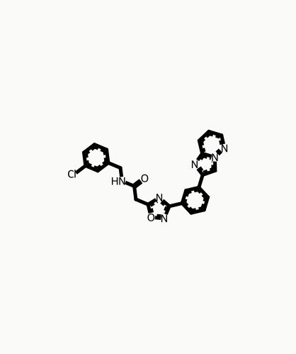 O=C(Cc1nc(-c2cccc(-c3cn4ncccc4n3)c2)no1)NCc1cccc(Cl)c1